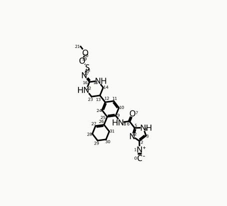 [C-]#[N+]c1c[nH]c(C(=O)Nc2ccc(C3CNC(=NSOOC)NC3)cc2C2=CCCCC2)n1